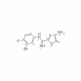 N=C(Nc1ccc(F)c(Br)c1)c1cc(N)no1